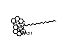 CCCCCCCCCCCCCCCC(=O)N([C@@H](CC(=O)O)C(=O)O)N(C1(O)CCCC2CCC3CCCCC3C21)C1(O)CCCC2CCC3CCCCC3C21